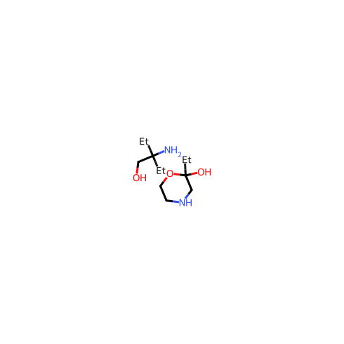 CCC(N)(CC)CO.CCC1(O)CNCCO1